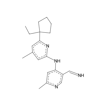 CCC1(c2cc(C)cc(Nc3cc(C)ncc3C=N)n2)CCCC1